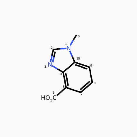 Cn1cnc2c(C(=O)O)cccc21